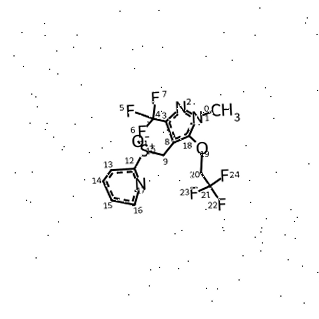 Cn1nc(C(F)(F)F)c(C[S+]([O-])c2ccccn2)c1OCC(F)(F)F